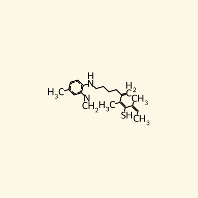 C=Nc1cc(C)ccc1NCCCCC(=C)/C(C)=C(S)\C(C)=C/C